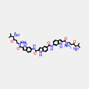 CN[C@H](C(=O)CCN(N)C(=O)c1cc2ccc(NC(=O)c3ccc4[nH]c(C(=O)Nc5ccc6cc(C(=O)N(N)CCC(=O)[C@@H](NC)C(C)C)[nH]c6c5)cc4c3)cc2[nH]1)C(C)C